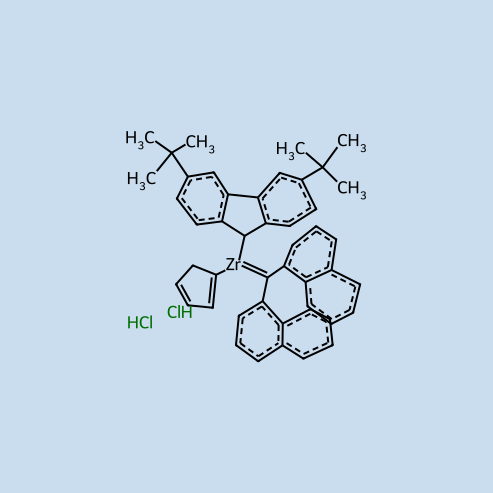 CC(C)(C)c1ccc2c(c1)-c1cc(C(C)(C)C)ccc1[CH]2[Zr]([C]1=CC=CC1)=[C](c1cccc2ccccc12)c1cccc2ccccc12.Cl.Cl